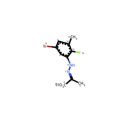 CCOC(=O)C(C)=NNc1cc(Br)cc(C)c1F